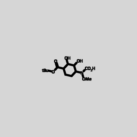 CON(C(=O)O)C1CCC(C(=O)OC(C)(C)C)C(O)C1O